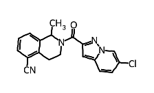 CC1c2cccc(C#N)c2CCN1C(=O)c1cc2ccc(Cl)cn2n1